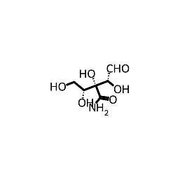 NC(=O)[C@@](O)([C@H](O)CO)[C@@H](O)C=O